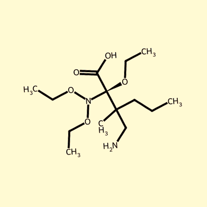 CCCC(C)(CN)[C@@](OCC)(C(=O)O)N(OCC)OCC